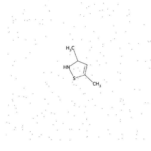 CC1=CC(C)NS1